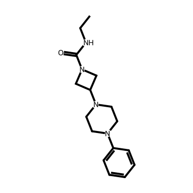 CCNC(=O)N1CC(N2CCN(c3ccccc3)CC2)C1